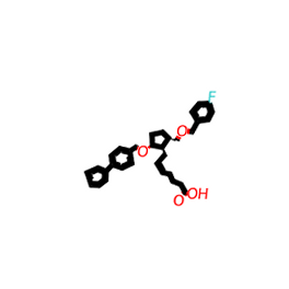 O=C(O)CCC/C=C\C[C@@H]1[C@@H](COCc2ccc(F)cc2)CC[C@@H]1OCc1ccc(-c2ccccc2)cc1